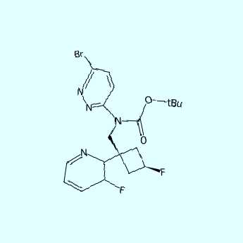 CC(C)(C)OC(=O)N(C[C@]1(C2N=CC=CC2F)C[C@H](F)C1)c1ccc(Br)nn1